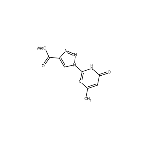 COC(=O)c1cn(-c2nc(C)cc(=O)[nH]2)nn1